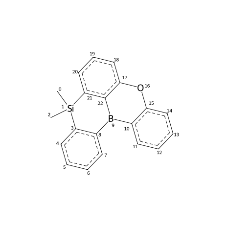 C[Si]1(C)c2ccccc2B2c3ccccc3Oc3cccc1c32